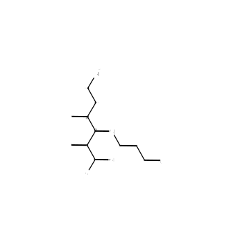 CCCCNC(C(C)CCN)C(C)C(N)N